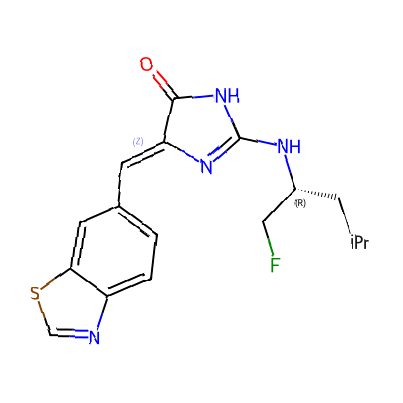 CC(C)C[C@H](CF)NC1=N/C(=C\c2ccc3ncsc3c2)C(=O)N1